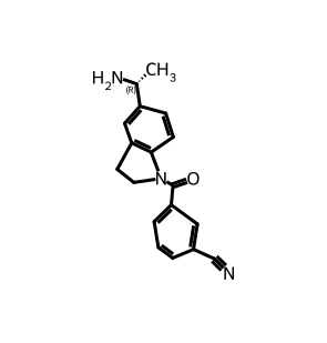 C[C@@H](N)c1ccc2c(c1)CCN2C(=O)c1cccc(C#N)c1